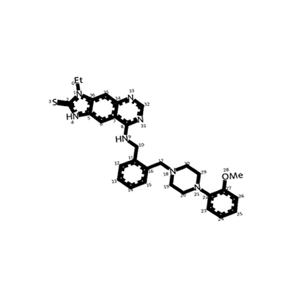 CCn1c(=S)[nH]c2cc3c(NCc4ccccc4CN4CCN(c5ccccc5OC)CC4)ncnc3cc21